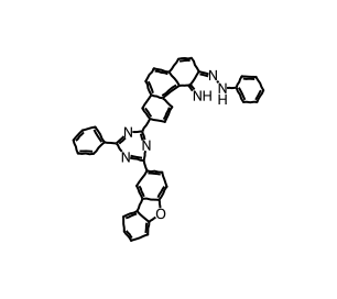 N=C1/C(=N\Nc2ccccc2)C=Cc2ccc3cc(-c4nc(-c5ccccc5)nc(-c5ccc6oc7ccccc7c6c5)n4)ccc3c21